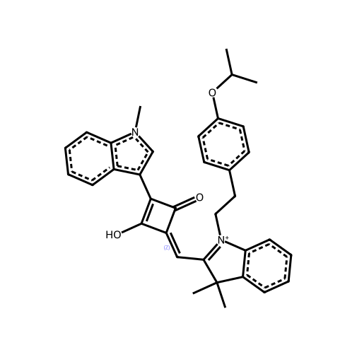 CC(C)Oc1ccc(CC[N+]2=C(/C=C3\C(=O)C(c4cn(C)c5ccccc45)=C3O)C(C)(C)c3ccccc32)cc1